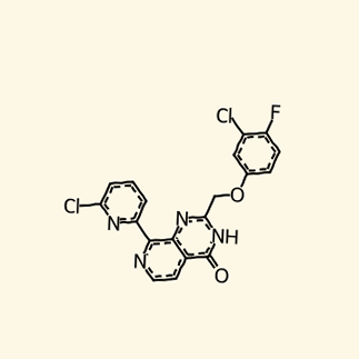 O=c1[nH]c(COc2ccc(F)c(Cl)c2)nc2c(-c3cccc(Cl)n3)nccc12